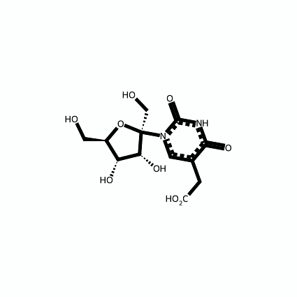 O=C(O)Cc1cn([C@]2(CO)O[C@H](CO)[C@@H](O)[C@H]2O)c(=O)[nH]c1=O